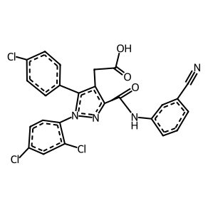 N#Cc1cccc(NC(=O)c2nn(-c3ccc(Cl)cc3Cl)c(-c3ccc(Cl)cc3)c2CC(=O)O)c1